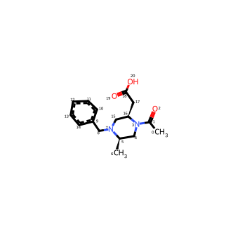 CC(=O)N1C[C@@H](C)N(Cc2ccccc2)C[C@H]1CC(=O)O